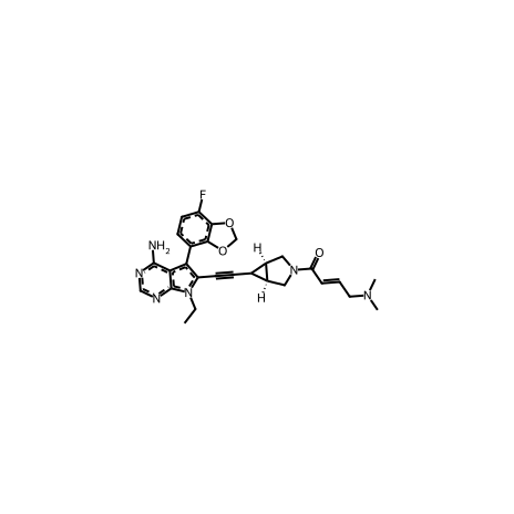 CCn1c(C#CC2[C@H]3CN(C(=O)/C=C/CN(C)C)C[C@@H]23)c(-c2ccc(F)c3c2OCO3)c2c(N)ncnc21